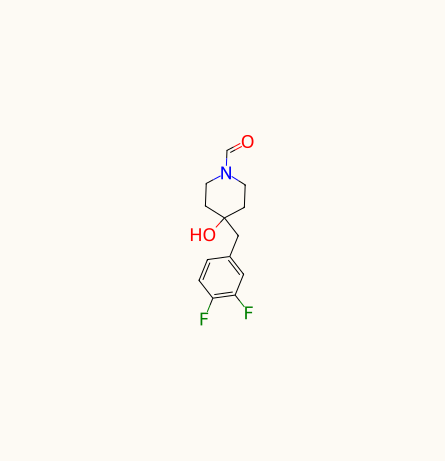 O=CN1CCC(O)(Cc2ccc(F)c(F)c2)CC1